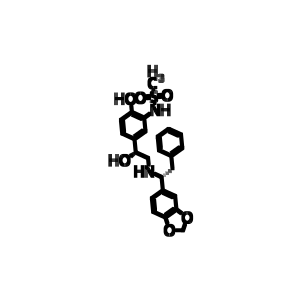 CS(=O)(=O)Nc1cc([C@H](O)CN[C@H](Cc2ccccc2)c2ccc3c(c2)OCO3)ccc1O